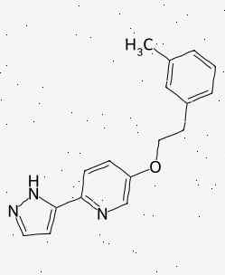 Cc1cccc(CCOc2ccc(-c3ccn[nH]3)nc2)c1